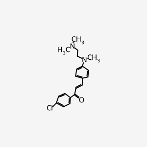 CN(C)CCN(C)c1ccc(C=CC(=O)c2ccc(Cl)cc2)cc1